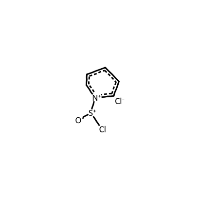 [Cl-].[O-][S+](Cl)[n+]1ccccc1